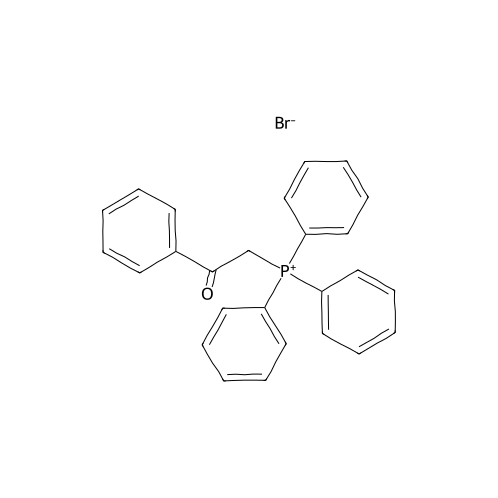 O=C(C[P+](c1ccccc1)(c1ccccc1)c1ccccc1)c1ccccc1.[Br-]